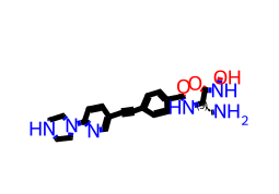 NC[C@H](NC(=O)c1ccc(C#Cc2ccc(N3CCNCC3)nc2)cc1)C(=O)NO